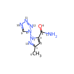 Cc1cc(C(N)=O)n(-n2cnnn2)n1